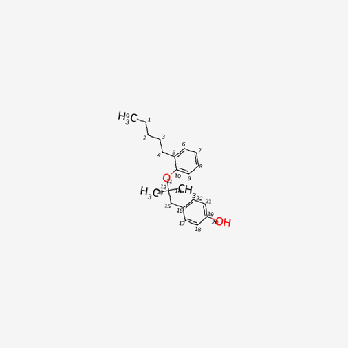 CCCCCc1ccccc1OC(C)(C)Cc1ccc(O)cc1